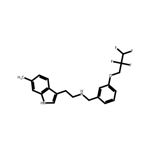 Cc1ccc2c(CCNCc3cccc(OCC(F)(F)C(F)F)c3)c[nH]c2c1